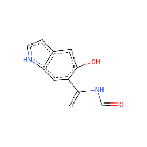 C=C(NC=O)c1cc2[nH]ccc2cc1O